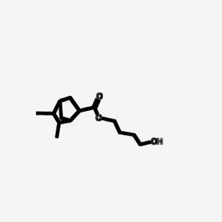 CC1C2CC(C(=O)OCCCCO)C(C2)C1C